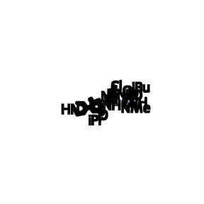 CCC(C)S(=O)(=O)C(=N)/C(=C\NC)Nc1nc(Nc2cc(C)c(C3CCNCC3)cc2OC(C)C)ncc1Cl